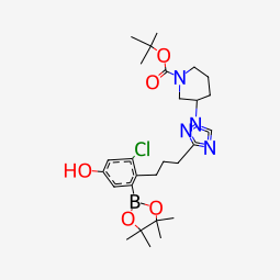 CC(C)(C)OC(=O)N1CCCC(n2cnc(CCCc3c(Cl)cc(O)cc3B3OC(C)(C)C(C)(C)O3)n2)C1